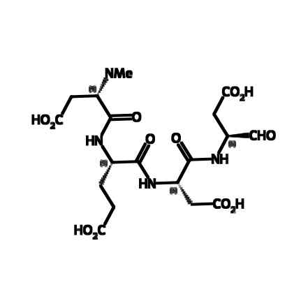 CN[C@@H](CC(=O)O)C(=O)N[C@@H](CCC(=O)O)C(=O)N[C@@H](CC(=O)O)C(=O)N[C@H](C=O)CC(=O)O